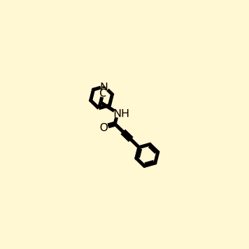 O=C(C#Cc1ccccc1)NC1CN2CCC1CC2